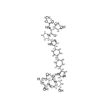 COC(=O)N[C@H](C(=O)N1CCCC1c1ncc(-c2ccc(-c3ccc(-c4cnc([C@@H]5C[C@H](O)CN5C(=O)[C@H](C(C)C)N(C)C(=O)O)[nH]4)cc3)cc2)[nH]1)C(C)CO